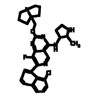 CC1NCCC1Nc1nc(OCC23CCCN2CCC3)nc2c(F)c(-c3cccc4cccc(Cl)c34)ncc12